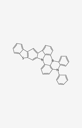 c1ccc(N2c3ccccc3B3c4c2cccc4-n2c4cc5sc6ccccc6c5cc4c4cccc3c42)cc1